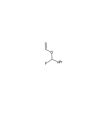 C=COC(F)CCC